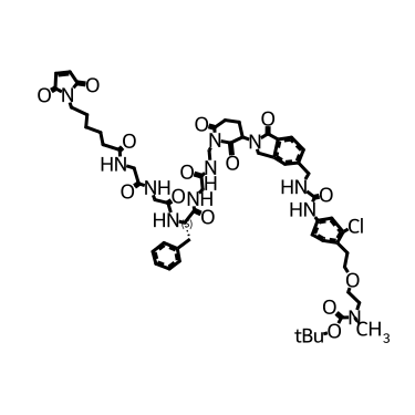 CN(CCOCCc1ccc(NC(=O)NCc2ccc3c(c2)CN(C2CCC(=O)N(CNC(=O)CNC(=O)[C@H](Cc4ccccc4)NC(=O)CNC(=O)CNC(=O)CCCCCN4C(=O)C=CC4=O)C2=O)C3=O)cc1Cl)C(=O)OC(C)(C)C